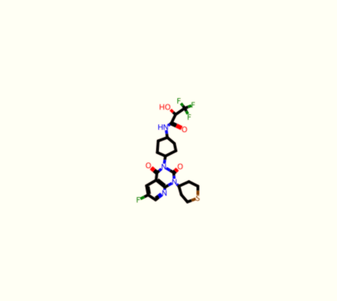 O=C(NC1CCC(n2c(=O)c3cc(F)cnc3n(C3CCSCC3)c2=O)CC1)C(O)C(F)(F)F